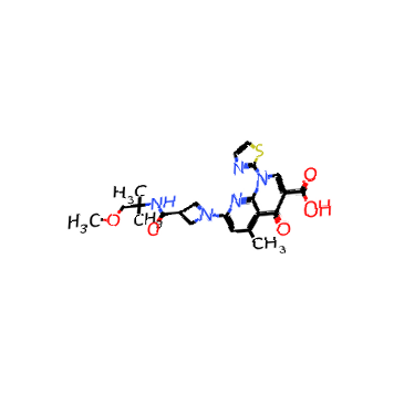 COCC(C)(C)NC(=O)C1CN(c2cc(C)c3c(=O)c(C(=O)O)cn(-c4nccs4)c3n2)C1